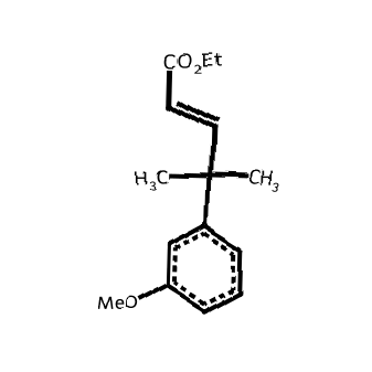 CCOC(=O)C=CC(C)(C)c1cccc(OC)c1